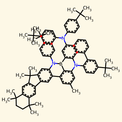 Cc1cc2c3c(c1)N(c1ccc(C(C)(C)C)cc1-c1ccccc1)c1ccc(N(c4ccc(C(C)(C)C)cc4)c4ccc(C(C)(C)C)cc4)cc1B3N(c1ccc(C(C)(C)C)cc1)c1cc3c(cc1-2)-c1cc2c(cc1C3(C)C)C(C)(C)CCC2(C)C